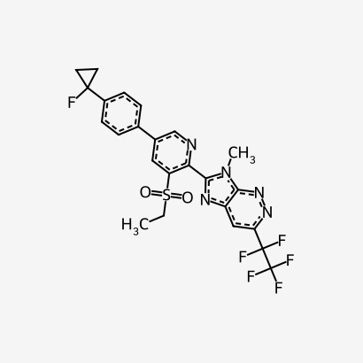 CCS(=O)(=O)c1cc(-c2ccc(C3(F)CC3)cc2)cnc1-c1nc2cc(C(F)(F)C(F)(F)F)nnc2n1C